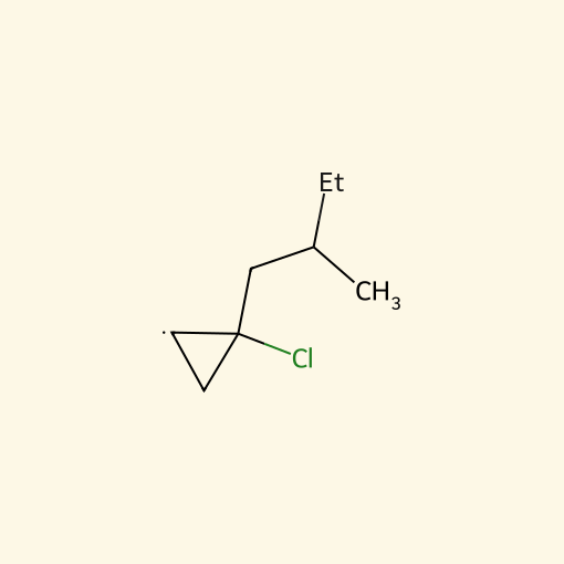 CCC(C)CC1(Cl)[CH]C1